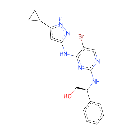 OC[C@@H](Nc1ncc(Br)c(Nc2cc(C3CC3)[nH]n2)n1)c1ccccc1